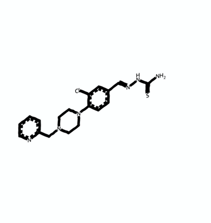 NC(=S)NN=Cc1ccc(N2CCN(Cc3ccccn3)CC2)c(Cl)c1